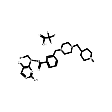 CC(C)CN(NC(=O)c1cccc(CN2CCN(CC3CCN(C)CC3)CC2)c1)c1nc(C#N)ncc1Cl.O=C(O)C(F)(F)F